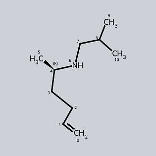 C=CCC[C@@H](C)NCC(C)C